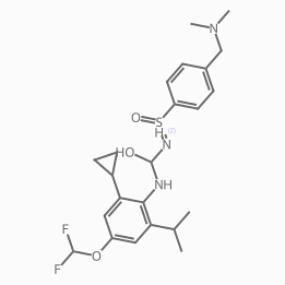 CC(C)c1cc(OC(F)F)cc(C2CC2)c1NC(O)/N=[SH](=O)/c1ccc(CN(C)C)cc1